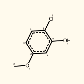 COc1ccc(Cl)c(O)c1